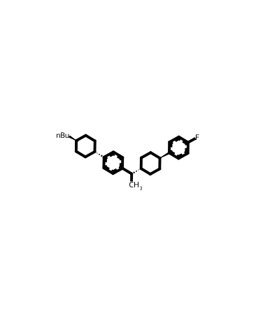 CCCC[C@H]1CC[C@H](c2ccc(C(C)[C@H]3CC[C@H](c4ccc(F)cc4)CC3)cc2)CC1